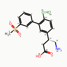 CS(=O)(=O)c1cccc(-c2cc([C@H](CN)CC(=O)O)ccc2Cl)c1.Cl